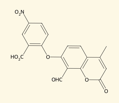 Cc1cc(=O)oc2c(C=O)c(Oc3ccc([N+](=O)[O-])cc3C(=O)O)ccc12